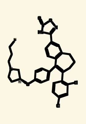 O=S1NC(c2ccc3c(c2)CCCC(c2ccc(Cl)cc2Cl)=C3c2ccc(O[C@H]3CCN(CCCF)C3)cc2)=NO1